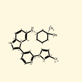 C[C@]1(O)CCC[C@H](Nc2ccc3ncc(-c4ccnc(-n5ccc(C(F)(F)F)n5)c4)n3c2)C1